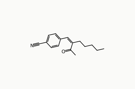 CCCCCC(=Cc1ccc(C#N)cc1)C(C)=O